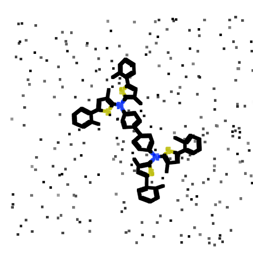 Cc1ccccc1-c1cc(C)c(N(c2ccc(-c3ccc(N(c4sc(-c5ccccc5C)cc4C)c4sc(-c5ccccc5C)cc4C)cc3)cc2)c2sc(-c3ccccc3C)cc2C)s1